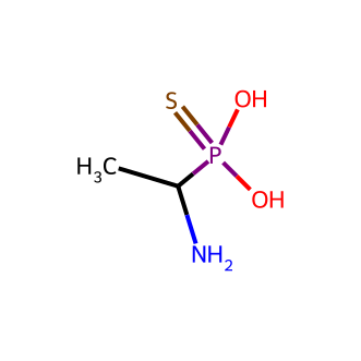 CC(N)P(O)(O)=S